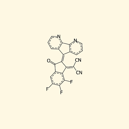 N#CC(C#N)=C1C(=C2c3cccnc3-c3ncccc32)C(=O)c2cc(F)c(F)c(F)c21